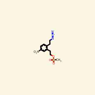 CS(=O)(=O)OCCc1cc([N+](=O)[O-])ccc1CCN=[N+]=[N-]